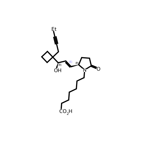 CCC#CCC1([C@H](O)/C=C/[C@H]2CCC(=O)N2CCCCCCC(=O)O)CCC1